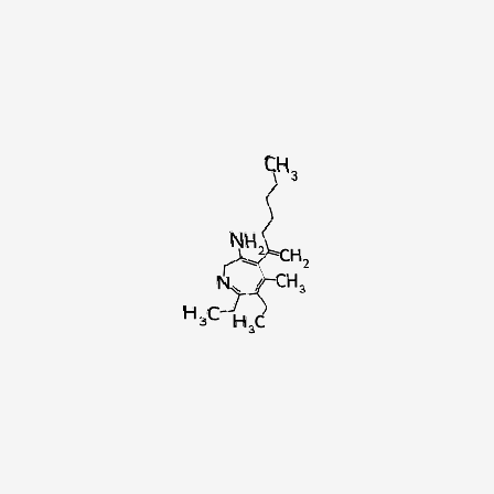 C=C(CCCCC)C1=C(N)CN=C(CC)C(CC)=C1C